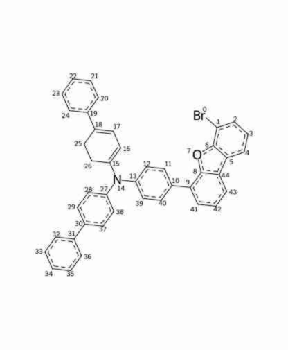 Brc1cccc2c1oc1c(-c3ccc(N(C4=CC=C(c5ccccc5)CC4)c4ccc(-c5ccccc5)cc4)cc3)cccc12